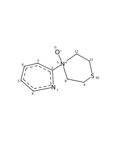 [O-][N+]1(c2cc[c]cn2)CCSCC1